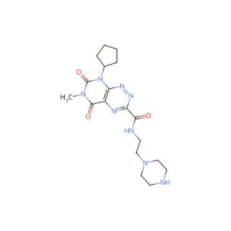 Cn1c(=O)c2nc(C(=O)NCCN3CCNCC3)nnc2n(C2CCCC2)c1=O